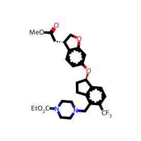 CCOC(=O)N1CCN(Cc2c(C(F)(F)F)ccc3c2CC[C@H]3Oc2ccc3c(c2)OC[C@H]3CC(=O)OC)CC1